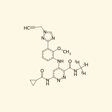 [2H]C([2H])([2H])NC(=O)c1nnc(NC(=O)C2CC2)cc1Nc1cccc(-c2ncn(CC#C)n2)c1OC